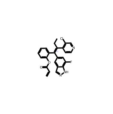 C=CC(=O)Oc1ccccc1/C(=C(\CC)c1ccncc1Cl)c1cc(F)c2[nH]ncc2c1